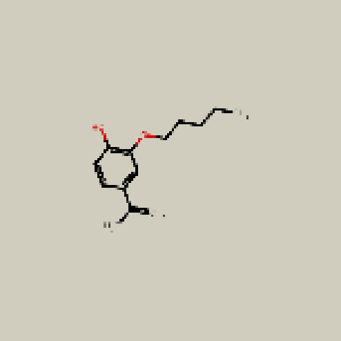 C=C(C)c1ccc(O)c(OCCCCC)c1